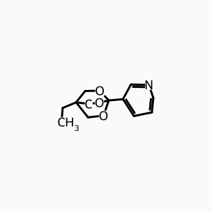 CCC12COC(c3cccnc3)(OC1)OC2